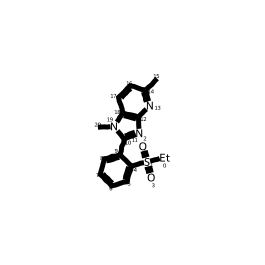 CCS(=O)(=O)c1ccccc1-c1nc2nc(C)ccc2n1C